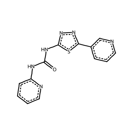 O=C(Nc1ccccn1)Nc1nnc(-c2cccnc2)s1